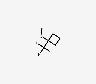 CSC1(C(F)(F)F)CCC1